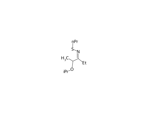 CCCS/N=C(/CC)C(C)OC(C)C